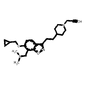 C#CCN1CCC(CCc2noc3c(CN(C)C)c(OCC4CC4)ccc23)CC1